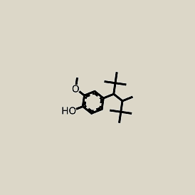 COc1cc(C(C(C)C(C)(C)C)C(C)(C)C)ccc1O